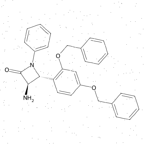 N[C@H]1C(=O)N(c2ccccc2)[C@@H]1c1ccc(OCc2ccccc2)cc1OCc1ccccc1